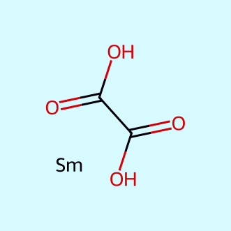 O=C(O)C(=O)O.[Sm]